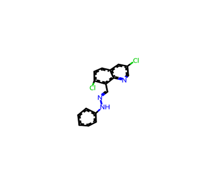 Clc1cnc2c(C=NNc3ccccc3)c(Cl)ccc2c1